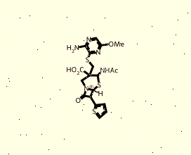 COc1cnc(N)c(SCC2(C(=O)O)CN3C(=O)C(c4cccs4)[C@H]3SC2NC(C)=O)n1